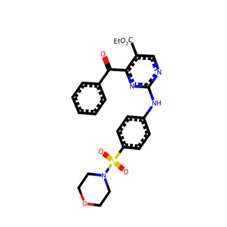 CCOC(=O)c1cnc(Nc2ccc(S(=O)(=O)N3CCOCC3)cc2)nc1C(=O)c1ccccc1